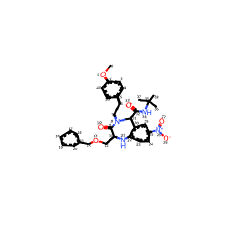 COc1ccc(CCN2C(=O)C(COCc3ccccc3)Nc3ccc([N+](=O)[O-])cc3C2C(=O)NC(C)(C)C)cc1